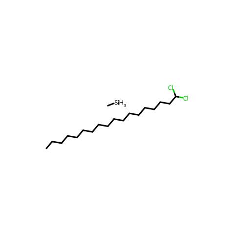 CCCCCCCCCCCCCCCCCC(Cl)Cl.C[SiH3]